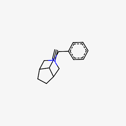 C#CC1C2CCC1CN(Cc1ccccc1)C2